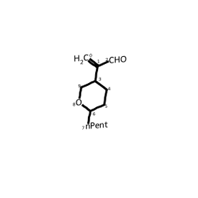 C=C(C=O)C1CCC(CCCCC)OC1